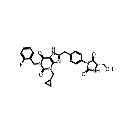 O=C1N[C@@H](CO)C(=O)N1c1ccc(Cc2nc3c([nH]2)c(=O)n(Cc2ccccc2F)c(=O)n3CC2CC2)cc1